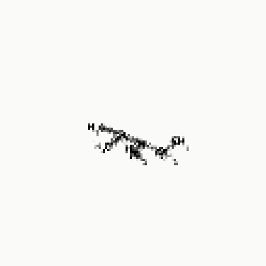 CCCCCCCCC(C)OC(=O)CCCCCCCN(CCCCCCCC(=O)OC(CCCCCCCC)CCCCCCCC)CCCNC(=O)OC